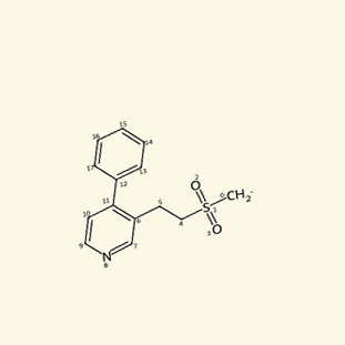 [CH2]S(=O)(=O)CCc1cnccc1-c1ccccc1